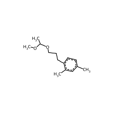 COC(C)OCCCc1ccc(C)cc1C